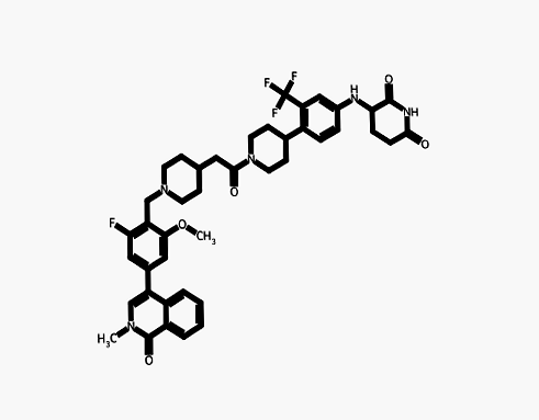 COc1cc(-c2cn(C)c(=O)c3ccccc23)cc(F)c1CN1CCC(CC(=O)N2CCC(c3ccc(NC4CCC(=O)NC4=O)cc3C(F)(F)F)CC2)CC1